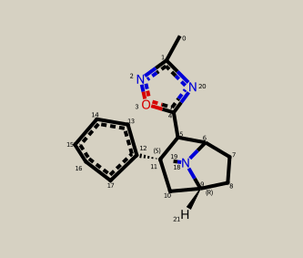 Cc1noc(C2C3CC[C@H](C[C@@H]2c2ccccc2)N3C)n1